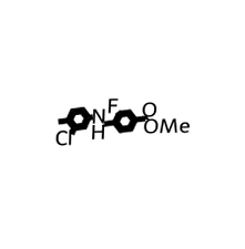 COC(=O)c1ccc(CNc2ccc(C)c(Cl)c2)c(F)c1